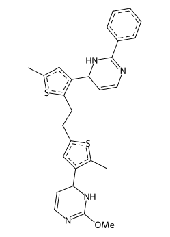 COC1=NC=CC(c2cc(CCc3sc(C)cc3C3C=CN=C(c4ccccc4)N3)sc2C)N1